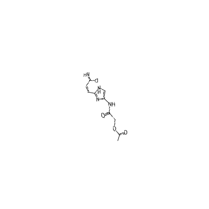 CC(=O)OCC(=O)Nc1c[nH]c(/C=C\C(=N)Cl)n1